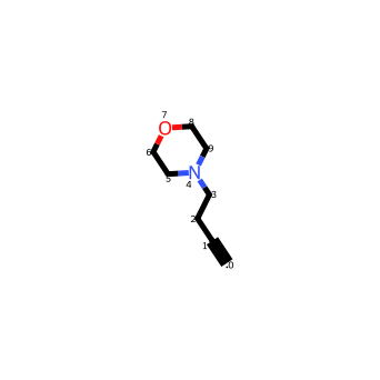 [C]#CCCN1CCOCC1